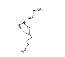 CCC=C[n+]1ccn(CCCC)c1